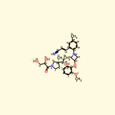 COc1ccc([C@@H]2CN(C(=O)C(O)CO)C[C@@]2(C)[C@@H](C)O)cc1OC1CN(c2ccc(C)cc2C=CC#N)C1